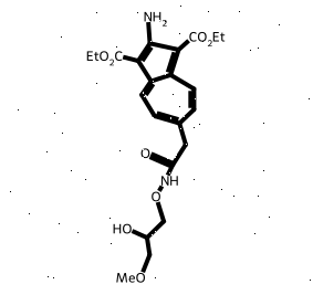 CCOC(=O)c1c2ccc(CC(=O)NOCC(O)COC)ccc-2c(C(=O)OCC)c1N